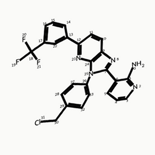 Nc1ncccc1-c1nc2ccc(-c3cccc(C(F)(F)F)c3)nc2n1-c1ccc(CCl)cc1